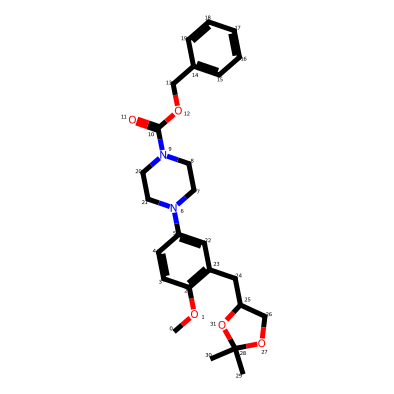 COc1ccc(N2CCN(C(=O)OCc3ccccc3)CC2)cc1CC1COC(C)(C)O1